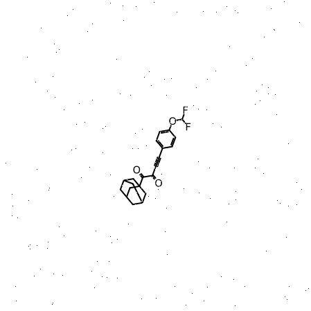 O=C(C#Cc1ccc(OC(F)F)cc1)C(=O)C12CC3CC(CC(C3)C1)C2